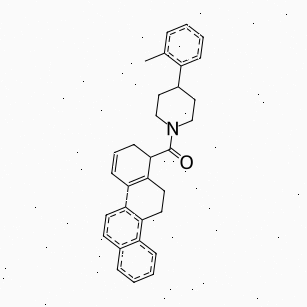 Cc1ccccc1C1CCN(C(=O)C2CC=CC3=C2CCc2c3ccc3ccccc23)CC1